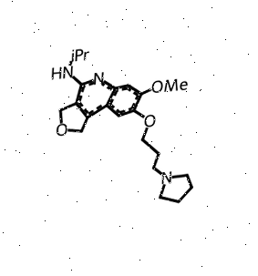 COc1cc2nc(NC(C)C)c3c(c2cc1OCCCN1CCCC1)COC3